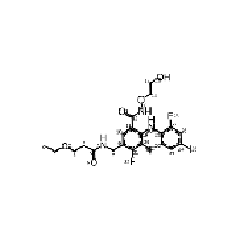 CCOCCC(=O)NCc1cc(C(=O)NOCCO)c(Nc2ccc(I)cc2F)c(F)c1F